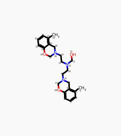 Cc1cccc2c1CN(CCN(CO)CCN1COc3cccc(C)c3C1)CO2